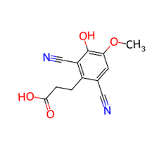 COc1cc(C#N)c(CCC(=O)O)c(C#N)c1O